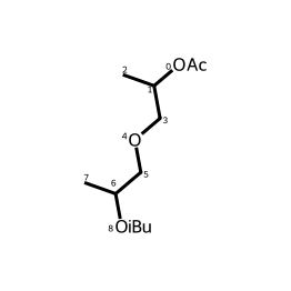 CC(=O)OC(C)COCC(C)OCC(C)C